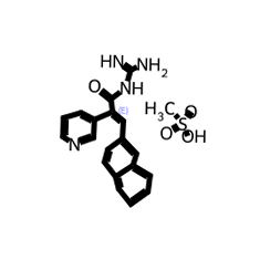 CS(=O)(=O)O.N=C(N)NC(=O)/C(=C/c1ccc2ccccc2c1)c1cccnc1